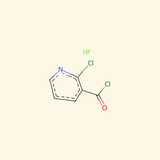 F.O=C(Cl)c1cccnc1Cl